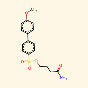 NC(=O)CCCOS(=O)(=O)c1ccc(-c2ccc(OC(F)(F)F)cc2)cc1